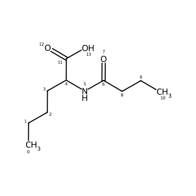 CCCCC(NC(=O)CCC)C(=O)O